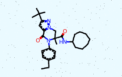 CCc1ccc(N2C(=O)c3cc(C(C)(C)C)nn3CC2(C)C(=O)NC2CCCCCCC2)cc1